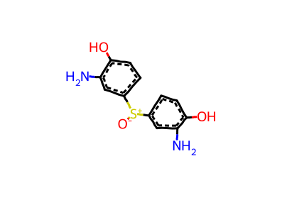 Nc1cc([S+]([O-])c2ccc(O)c(N)c2)ccc1O